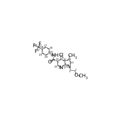 COCCn1cc(C)c2c(Cl)c(C(=O)Nc3ccc(C(F)(F)F)cc3)cnc21